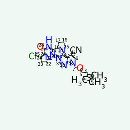 C[Si](C)(C)CCOCn1cc(C#N)c2c(N3CCCC3c3nn4ccc(Cl)c4c(=O)[nH]3)ncnc21